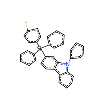 Fc1ccc([Si](c2ccccc2)(c2ccccc2)c2ccc3c4ccccc4n(-c4ccccc4)c3c2)cc1